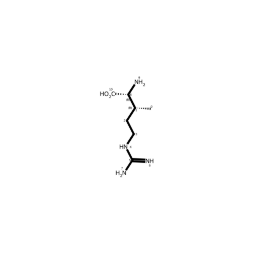 C[C@H](CCNC(=N)N)[C@@H](N)C(=O)O